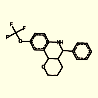 FC(F)(F)Oc1ccc2c(c1)C1OCCCC1C(c1ccccc1)N2